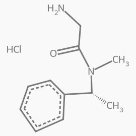 C[C@H](c1ccccc1)N(C)C(=O)CN.Cl